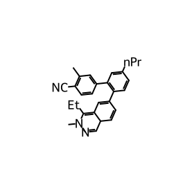 CCCc1ccc(C2=CC3=C(CC)N(C)N=CC3C=C2)c(-c2ccc(C#N)c(C)c2)c1